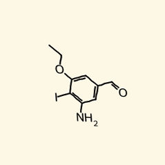 CCOc1cc(C=O)cc(N)c1I